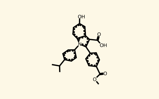 COC(=O)c1ccc(-c2c(C(=O)O)c3cc(O)ccc3n2-c2ccc(C(C)C)cc2)cc1